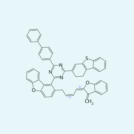 C=c1/c(=C\C=C/Cc2ccc3oc4ccccc4c3c2-c2nc(C3=Cc4sc5ccccc5c4CC3)nc(-c3ccc(-c4ccccc4)cc3)n2)oc2ccccc12